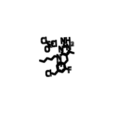 CCCCCNc1nc(N)nc(C)c1Cc1ccc(CCl)cc1F.[O-][S+](Cl)Cl